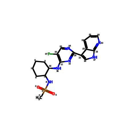 CS(=O)(=O)NC1CCCC[C@H]1Nc1nc(-c2c[nH]c3ncccc23)ncc1F